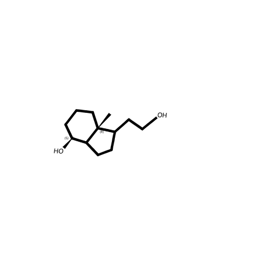 C[C@]12CCC[C@H](O)C1CCC2CCO